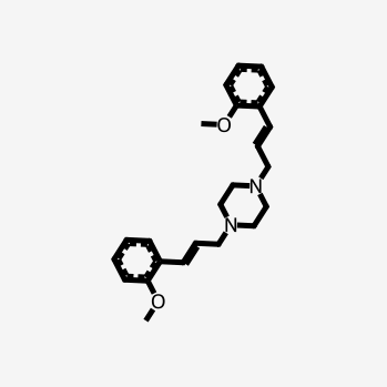 COc1ccccc1/C=C/CN1CCN(C/C=C/c2ccccc2OC)CC1